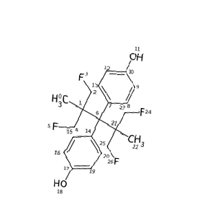 CC(CF)(CF)C(c1ccc(O)cc1)(c1ccc(O)cc1)C(C)(CF)CF